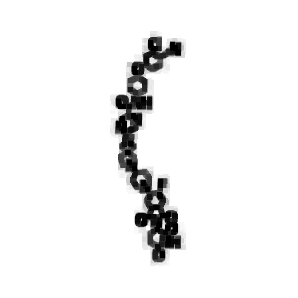 N#Cc1ccc(O[C@H]2CC[C@H](NC(=O)c3cnc(N4CC5(CCN(C6CCN(c7cc8c(cc7F)C(=O)N(C7CCC(=O)NC7=O)C8=O)CC6)C5)C4)cn3)CC2)cc1Cl